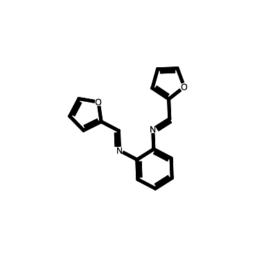 C(=Nc1ccccc1N=Cc1ccco1)c1ccco1